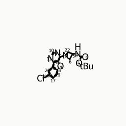 CC(C)(C)OC(=O)NC1CN(c2ncnc3c2oc2ccc(Cl)cc23)C1